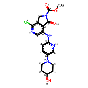 CC(C)(C)OC(=O)N1Cc2c(Cl)ncc(Nc3ccc(N4CCC(O)CC4)cn3)c2C1=O